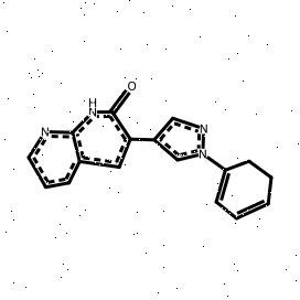 O=c1[nH]c2ncccc2cc1-c1cnn(C2=CC=CCC2)c1